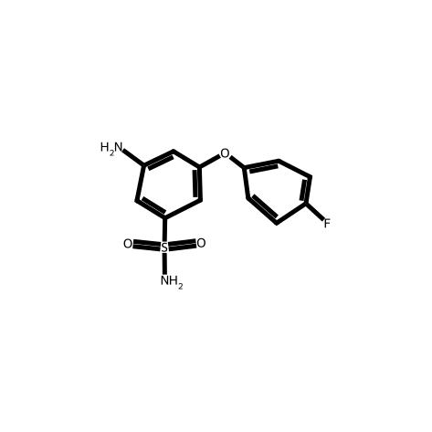 Nc1cc(Oc2ccc(F)cc2)cc(S(N)(=O)=O)c1